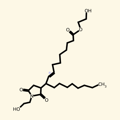 CCCCCCCCC(/C=C/CCCCCCC(=O)OCCO)C1CC(=O)N(CCO)C1=O